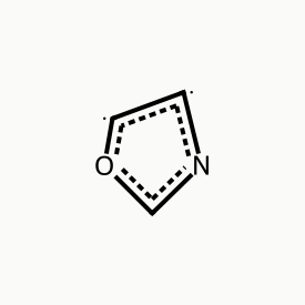 [c]1[c]ocn1